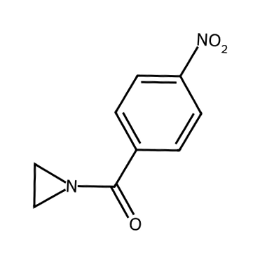 O=C(c1ccc([N+](=O)[O-])cc1)N1CC1